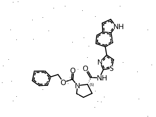 O=C(Nc1nc(-c2ccc3cc[nH]c3c2)cs1)[C@@H]1CCCN1C(=O)OCc1ccccc1